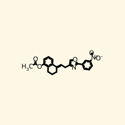 CC(=O)Oc1cccc2c1CCCC2=CCc1coc(-c2cccc([N+](=O)[O-])c2)n1